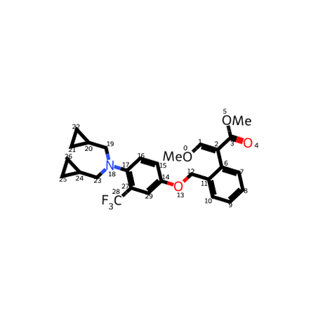 CO/C=C(/C(=O)OC)c1ccccc1COc1ccc(N(CC2CC2)CC2CC2)c(C(F)(F)F)c1